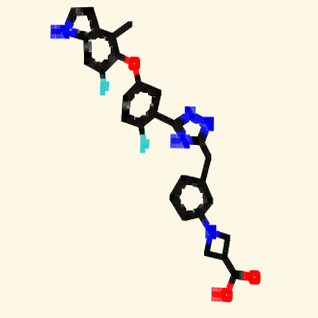 Cc1c(Oc2ccc(F)c(-c3nnc(Cc4cccc(N5CC(C(=O)O)C5)c4)[nH]3)c2)c(F)cc2[nH]ccc12